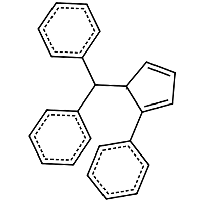 C1=C[C](C(c2ccccc2)c2ccccc2)C(c2ccccc2)=C1